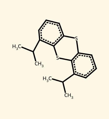 CC(C)c1cccc2c1Sc1c(cccc1C(C)C)S2